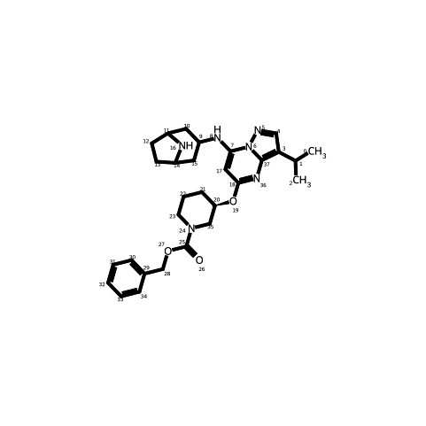 CC(C)c1cnn2c(NC3CC4CCC(C3)N4)cc(O[C@@H]3CCCN(C(=O)OCc4ccccc4)C3)nc12